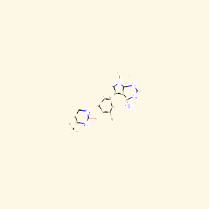 Cn1cc(-c2ccc(Oc3nccc(C(F)(F)F)n3)c(F)c2)c2c(N)ncnc21